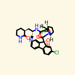 N#C[C@H](C[C@@H]1CCCNC1=O)NC(=O)[C@@H]1[C@H]2CC[C@H](CC2(F)F)N1C(=O)[C@]1(O)c2ccccc2-c2ccc(Cl)cc21